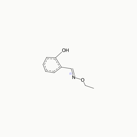 CCO/N=C/c1ccccc1O